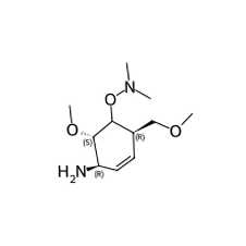 COC[C@H]1C=C[C@@H](N)[C@H](OC)C1ON(C)C